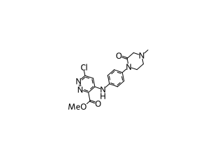 COC(=O)c1nnc(Cl)cc1Nc1ccc(N2CCN(C)CC2=O)cc1